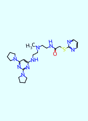 CN(CCNC(=O)CSc1ncccn1)CCNc1cc(N2CCCC2)nc(N2CCCC2)n1